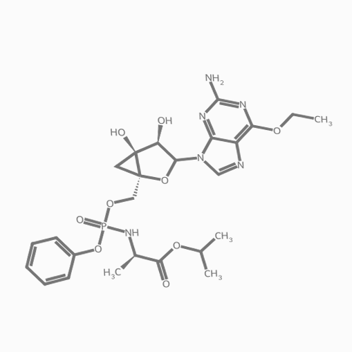 CCOc1nc(N)nc2c1ncn2C1O[C@@]2(COP(=O)(N[C@H](C)C(=O)OC(C)C)Oc3ccccc3)C[C@]2(O)[C@H]1O